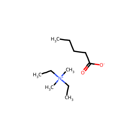 CCCCC(=O)[O-].CC[N+](C)(C)CC